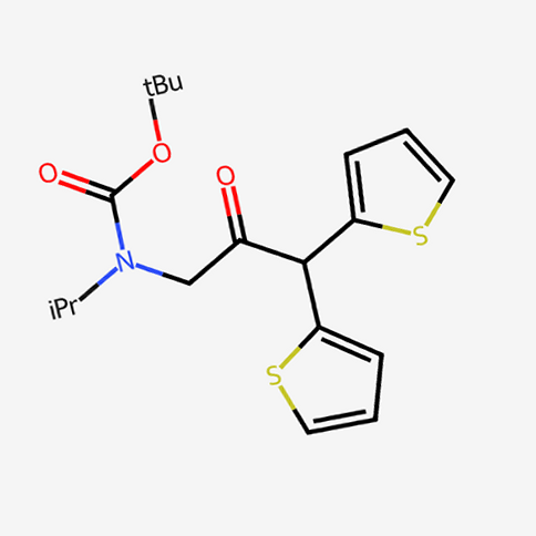 CC(C)N(CC(=O)C(c1cccs1)c1cccs1)C(=O)OC(C)(C)C